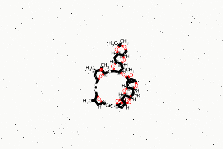 C=C1C[C@@H]2CC[C@@]34C[C@H]5O[C@H]6[C@@H](O3)[C@H]3OC(CC[C@@H]3O[C@H]6[C@H]5O4)CC(=O)O[C@H]3C(C[C@H]4OC(CCC1O2)C[C@@H](C)C4=C)O[C@H]1C[C@H]2OC(C)(C)OC[C@H]2O[C@H]1[C@@H]3C